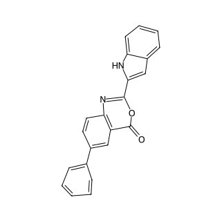 O=c1oc(-c2cc3ccccc3[nH]2)nc2ccc(-c3ccccc3)cc12